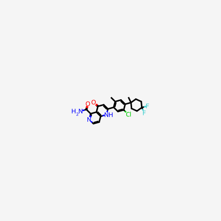 Cc1cc(C2(C)CCC(F)(F)CC2)c(Cl)cc1-c1cc(=O)c2c(C(N)=O)nccc2[nH]1